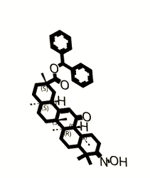 CC1(C)C(=NO)CC[C@@]2(C)C1CC[C@]1(C)[C@@H]2C(=O)C=C2[C@@H]3C[C@@](C)(C(=O)OC(c4ccccc4)c4ccccc4)CC[C@]3(C)CC[C@]21C